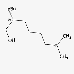 CCCC[C@@H](CO)CCCCN(C)C